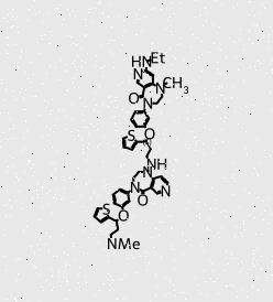 CCNc1cc2c(cn1)C(=O)N(c1cccc(O[C@@H](CCNN3CCN(c4cccc(OC(CCNC)c5cccs5)c4)C(=O)c4cnccc43)c3cccs3)c1)CCN2C